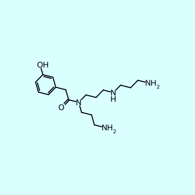 NCCCNCCCN(CCCN)C(=O)Cc1cccc(O)c1